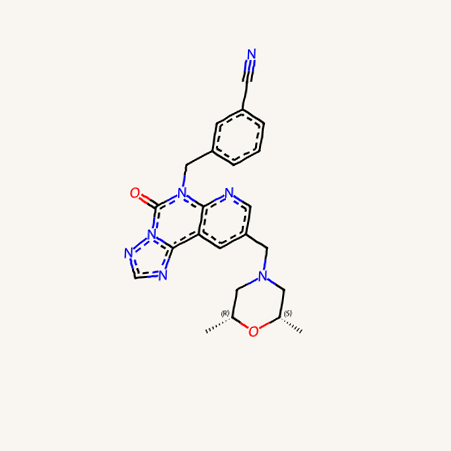 C[C@@H]1CN(Cc2cnc3c(c2)c2ncnn2c(=O)n3Cc2cccc(C#N)c2)C[C@H](C)O1